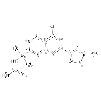 Cn1cc(-c2cc(Cl)c3cnc(C(C)(C)NC(N)=O)cc3c2)cn1